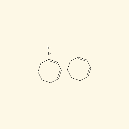 C1=CCCCCC=C1.C1=CCCCCC=C1.[Ir].[Ir]